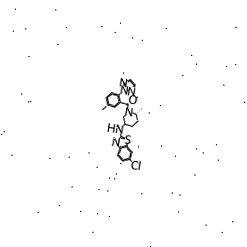 Cc1ccc(-n2nccn2)c(C(=O)N2C[C@H](Nc3nc4ccc(Cl)cc4s3)CC[C@H]2C)c1